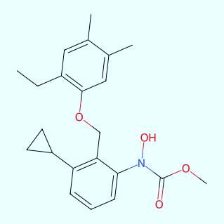 CCc1cc(C)c(C)cc1OCc1c(C2CC2)cccc1N(O)C(=O)OC